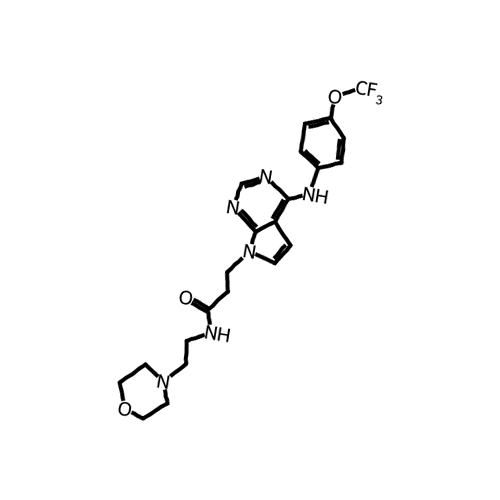 O=C(CCn1ccc2c(Nc3ccc(OC(F)(F)F)cc3)ncnc21)NCCN1CCOCC1